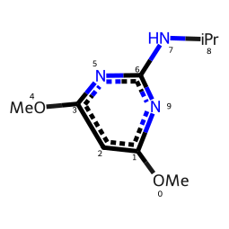 COc1cc(OC)nc(NC(C)C)n1